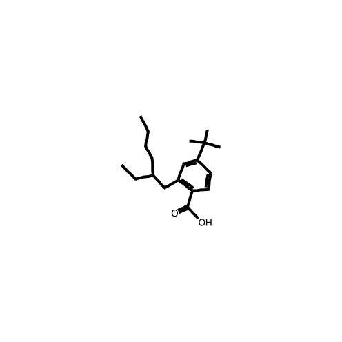 CCCCC(CC)Cc1cc(C(C)(C)C)ccc1C(=O)O